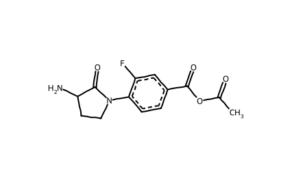 CC(=O)OC(=O)c1ccc(N2CCC(N)C2=O)c(F)c1